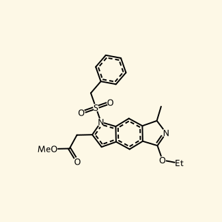 CCOC1=NC(C)c2cc3c(cc21)cc(CC(=O)OC)n3S(=O)(=O)Cc1ccccc1